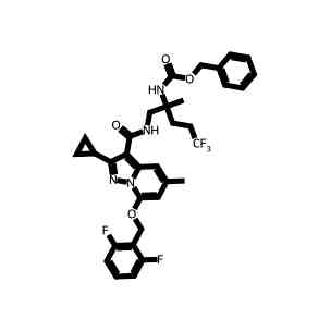 Cc1cc(OCc2c(F)cccc2F)n2nc(C3CC3)c(C(=O)NCC(C)(CCC(F)(F)F)NC(=O)OCc3ccccc3)c2c1